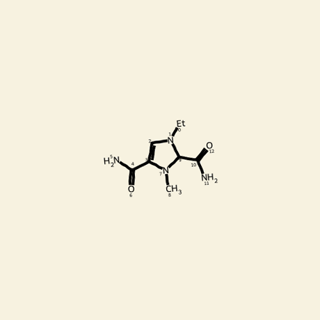 CCN1C=C(C(N)=O)N(C)C1C(N)=O